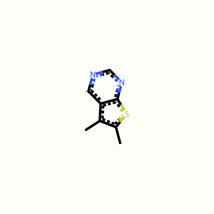 Cc1sc2ncn[c]c2c1C